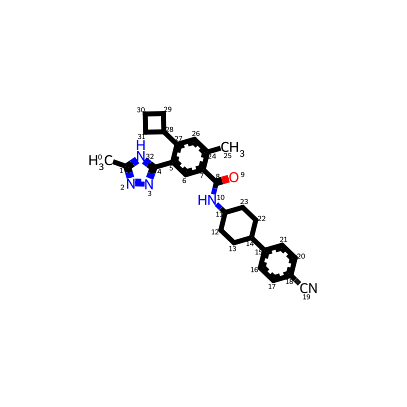 Cc1nnc(-c2cc(C(=O)NC3CCC(c4ccc(C#N)cc4)CC3)c(C)cc2C2CCC2)[nH]1